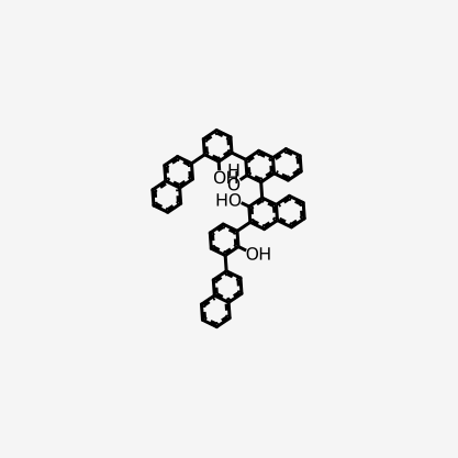 Oc1c(-c2ccc3ccccc3c2)cccc1-c1cc2ccccc2c(-c2c(O)c(-c3cccc(-c4ccc5ccccc5c4)c3O)cc3ccccc23)c1O